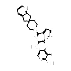 Cc1nccc(Sc2c(C)nc(N3CCC4(CC3)Cc3cccnc3C4)c3ccnn23)c1Cl